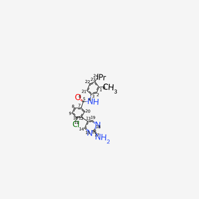 Cc1cc(NC(=O)c2ccc(Cl)c(-c3cnc(N)nc3)c2)ccc1C(C)C